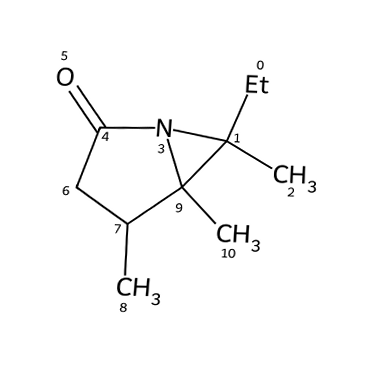 CCC1(C)N2C(=O)CC(C)C21C